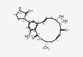 C[C@H]1C/C=C\C(=O)[C@@H](O)[C@@H](O)C/C=C/c2cc(N3CCNC3=O)cc(O)c2C(=O)O1